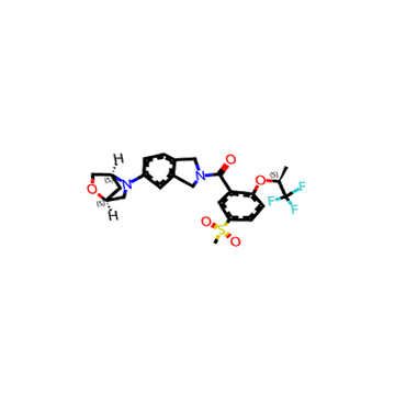 C[C@H](Oc1ccc(S(C)(=O)=O)cc1C(=O)N1Cc2ccc(N3C[C@@H]4C[C@H]3CO4)cc2C1)C(F)(F)F